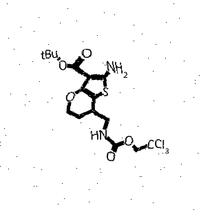 CC(C)(C)OC(=O)c1c(N)sc2c1OCCC2CNC(=O)OCC(Cl)(Cl)Cl